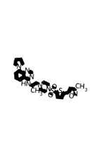 Cc1cc(-c2ccc(S(=O)(=O)N3CCN(C[C@H](C)Nc4ncnc5c(N6CCCC6)cccc45)CC3)s2)on1